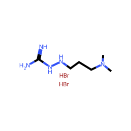 Br.Br.CN(C)CCCNNC(=N)N